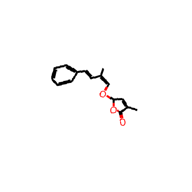 CC1=CC(O/C=C(C)\C=C\c2ccccc2)OC1=O